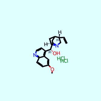 C=C[C@@H]1CN2CCC1C[C@@H]2[C@H](O)c1ccnc2ccc(OC)cc12.Cl.Cl